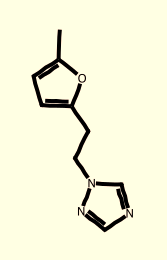 Cc1ccc(CCn2cncn2)o1